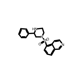 O=S(=O)(c1cccc2cnccc12)N1CCNC(c2ccccc2)C1